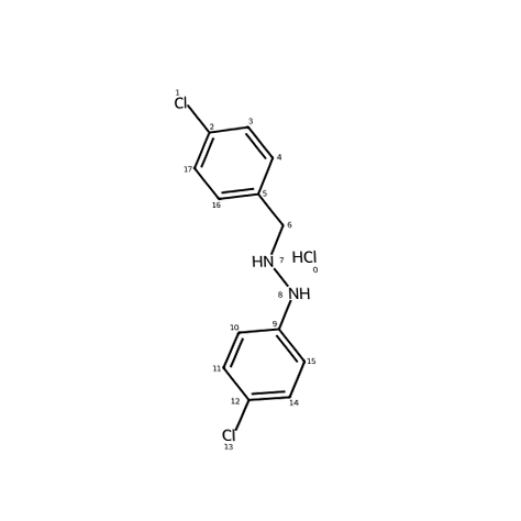 Cl.Clc1ccc(CNNc2ccc(Cl)cc2)cc1